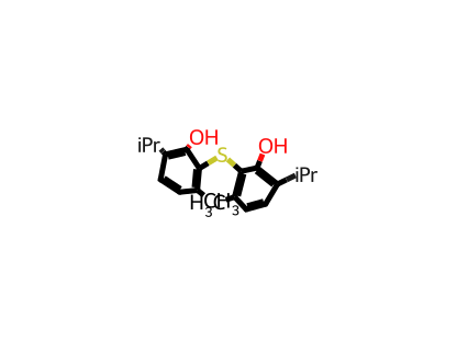 Cc1ccc(C(C)C)c(O)c1Sc1c(C)ccc(C(C)C)c1O